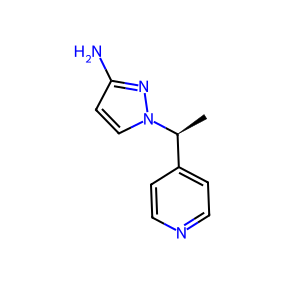 C[C@@H](c1ccncc1)n1ccc(N)n1